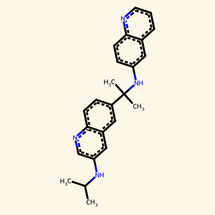 CC(C)Nc1cnc2ccc(C(C)(C)Nc3ccc4ncccc4c3)cc2c1